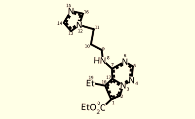 CCOC(=O)c1cn2ncnc(NCCCn3ccnc3)c2c1CC